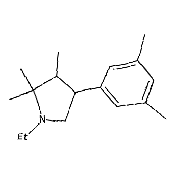 CCN1CC(c2cc(C)cc(C)c2)C(C)C1(C)C